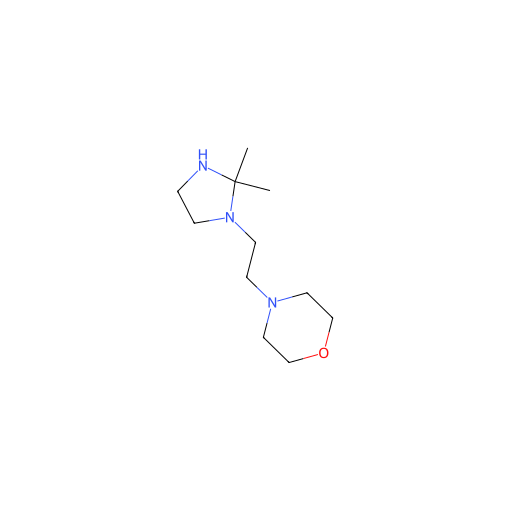 CC1(C)NCCN1CCN1CCOCC1